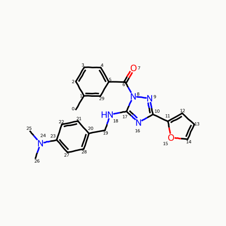 Cc1cccc(C(=O)n2nc(-c3ccco3)nc2NCc2ccc(N(C)C)cc2)c1